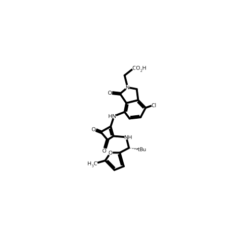 Cc1ccc([C@H](Nc2c(Nc3ccc(Cl)c4c3C(=O)N(CC(=O)O)C4)c(=O)c2=O)C(C)(C)C)o1